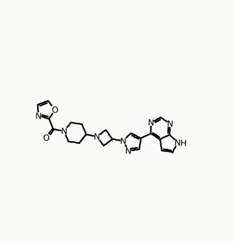 O=C(c1ncco1)N1CCC(N2C[C](n3cc(-c4ncnc5[nH]ccc45)cn3)C2)CC1